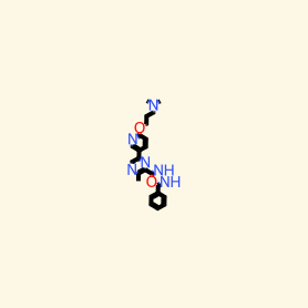 Cc1ncc(-c2ccc(OCCCN(C)C)nc2)nc1C(=N)OC(=N)c1ccccc1